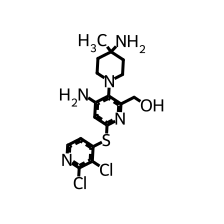 CC1(N)CCN(c2c(N)cc(Sc3ccnc(Cl)c3Cl)nc2CO)CC1